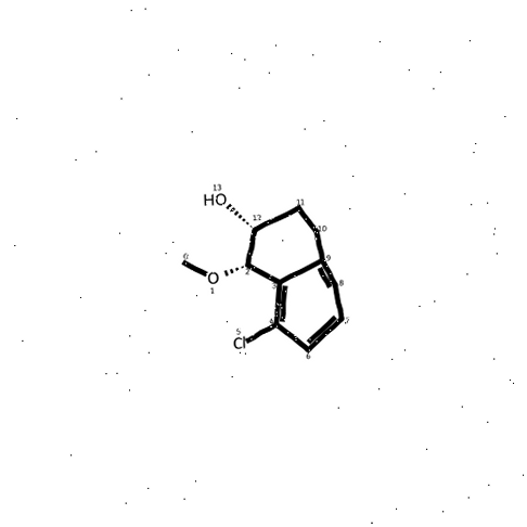 CO[C@H]1c2c(Cl)cccc2CC[C@H]1O